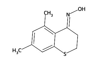 Cc1cc(C)c2c(c1)SCCC2=NO